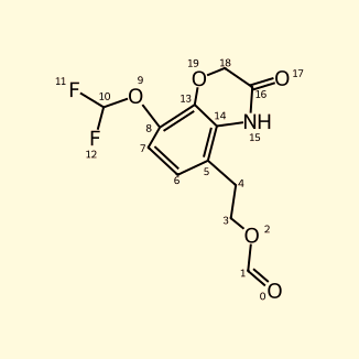 O=COCCc1ccc(OC(F)F)c2c1NC(=O)CO2